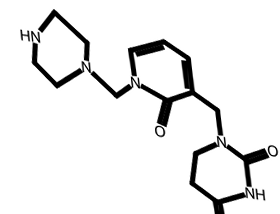 C=C1CCN(Cc2cccn(CN3CCNCC3)c2=O)C(=O)N1